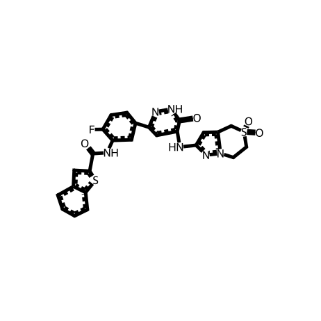 O=C(Nc1cc(-c2cc(Nc3cc4n(n3)CCS(=O)(=O)C4)c(=O)[nH]n2)ccc1F)c1cc2ccccc2s1